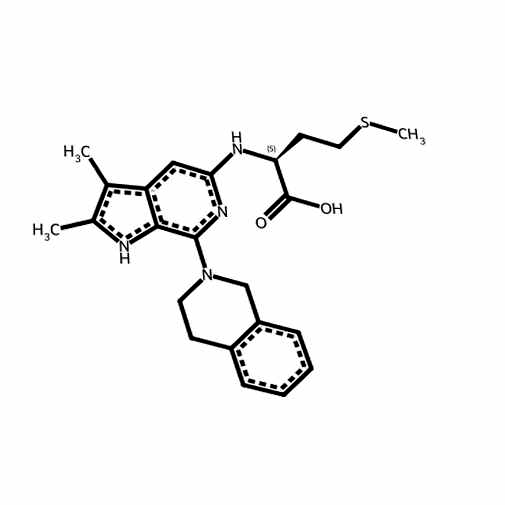 CSCC[C@H](Nc1cc2c(C)c(C)[nH]c2c(N2CCc3ccccc3C2)n1)C(=O)O